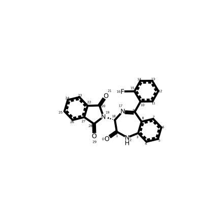 O=C1Nc2ccccc2C(c2ccccc2F)=N[C@H]1N1C(=O)c2ccccc2C1=O